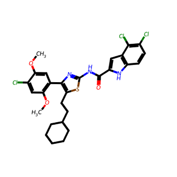 COc1cc(-c2nc(NC(=O)c3cc4c(Cl)c(Cl)ccc4[nH]3)sc2CCC2CCCCC2)c(OC)cc1Cl